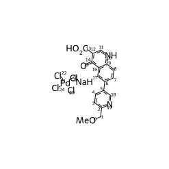 COCc1ccc(-c2ccc3[nH]cc(C(=O)O)c(=O)c3c2)cn1.[Cl][Pd]([Cl])([Cl])[Cl].[NaH]